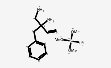 C=CC(N)(CN)Cc1ccccc1.CCC[Si](OC)(OC)OC